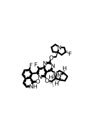 C[C@@H]1Oc2nc(-c3c(F)ccc4cc[nH]c(=O)c34)c(F)c3nc(OC[C@@]45CCCN4C[C@H](F)C5)nc(c23)N2C[C@H]3CC[C@H](N3)[C@@H]12